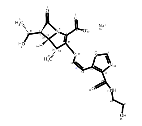 C[C@@H](O)[C@H]1C(=O)N2C(C(=O)[O-])=C(S/C=C\c3scnc3C(=O)NCCO)[C@H](C)[C@H]12.[Na+]